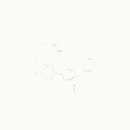 CCCCCN(C)C(=O)OC/C(=C(/N)c1ccc(OC2CCCCC2)c(C2CC2)n1)N(C)N